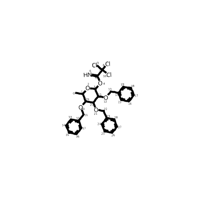 CC1OC(OC(=N)C(Cl)(Cl)Cl)C(OCc2ccccc2)C(OCc2ccccc2)C1OCc1ccccc1